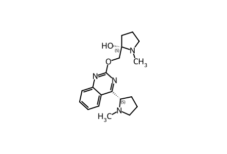 CN1CCC[C@H]1c1nc(OC[C@@]2(O)CCCN2C)nc2ccccc12